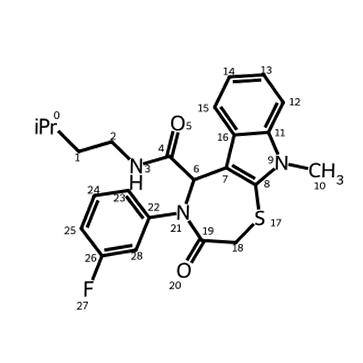 CC(C)CCNC(=O)C1c2c(n(C)c3ccccc23)SCC(=O)N1c1cccc(F)c1